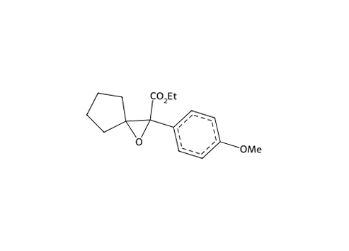 CCOC(=O)C1(c2ccc(OC)cc2)OC12CCCC2